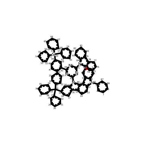 c1ccc(-n2c3ccccc3c3c2ccc2c4ccc(C(c5ccccc5)(c5ccccc5)c5ccccc5)cc4n(-c4nc(-c5cccc([Si](c6ccccc6)(c6ccccc6)c6ccccc6)c5)nc(-n5c6ccccc6c6ccccc65)n4)c23)cc1